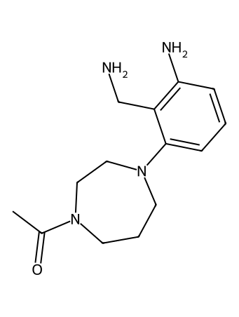 CC(=O)N1CCCN(c2cccc(N)c2CN)CC1